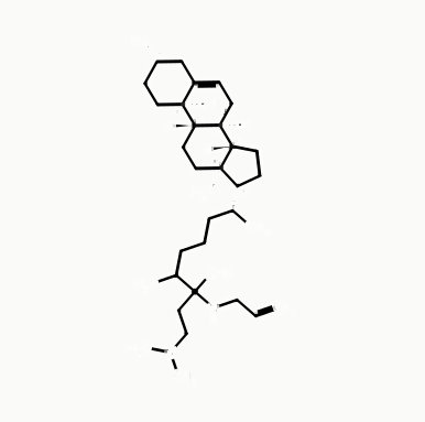 C=CCNC(C=O)(CCN(C)C)C(C)CCCC(C)[C@H]1CC[C@H]2[C@@H]3CC=C4C[C@@H](O)CC[C@]4(C)[C@H]3CC[C@]12C